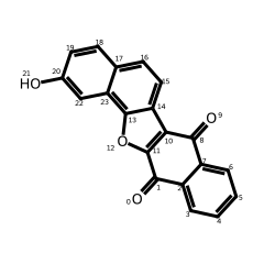 O=C1c2ccccc2C(=O)c2c1oc1c2ccc2ccc(O)cc21